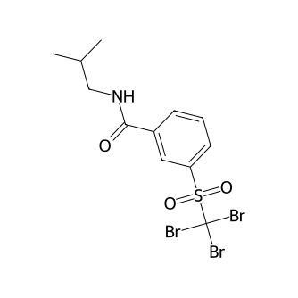 CC(C)CNC(=O)c1cccc(S(=O)(=O)C(Br)(Br)Br)c1